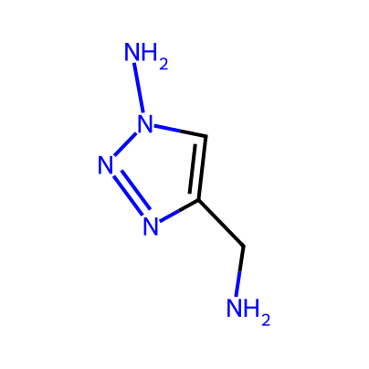 NCc1cn(N)nn1